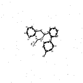 Fc1ccc(-c2ncccc2C(Cc2cccnc2)OCC(F)(F)F)cc1